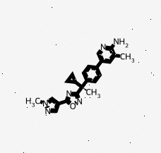 Cc1cc(-c2ccc([C@@](C)(c3noc(-c4cnn(C)c4)n3)C3CC3)cc2)cnc1N